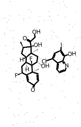 C[C@@H]1C[C@H]2[C@@H]3C[C@H](F)C4=CC(=O)C=C[C@]4(C)[C@@]3(F)[C@@H](O)C[C@]2(C)[C@@]1(O)C(=O)CO.Oc1c(I)cc(Cl)c2cccnc12